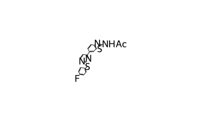 CC(=O)Nc1nc2ccc(-c3ccnc(Sc4ccc(F)cc4)n3)cc2s1